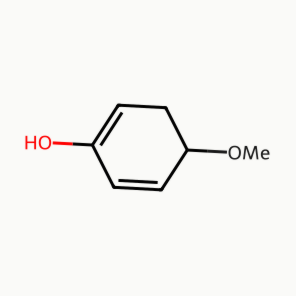 COC1C=CC(O)=CC1